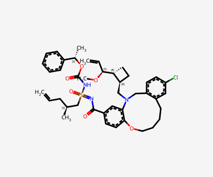 C=CC[C@H](C)CS(=O)(=NC(=O)c1ccc2c(c1)N(C[C@@H]1CC[C@H]1[C@H](C=C)OC)Cc1ccc(Cl)cc1CCCCO2)NC(=O)O[C@@H](C)c1ccccc1